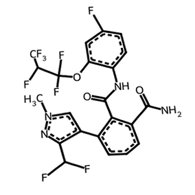 Cn1cc(-c2cccc(C(N)=O)c2C(=O)Nc2ccc(F)cc2OC(F)(F)C(F)C(F)(F)F)c(C(F)F)n1